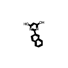 Oc1cc(O)nc(-c2ccc3ccccc3c2)n1